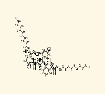 CCCCCCCCCCCCNC(=O)c1cccc(Sc2c(Nc3cc(C(=O)NCCCCCCCCCCCC)ccc3Cl)[nH]n(-c3c(Cl)cc(Cl)cc3Cl)c2=O)c1